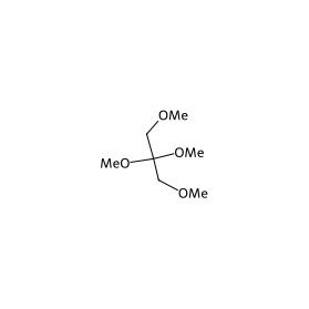 COCC(COC)(OC)OC